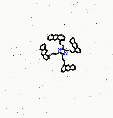 C(=Cc1cccc2cc3ccccc3cc12)c1nc(C=Cc2cccc3cc4ccccc4cc23)c(C=Cc2cccc3cc4ccccc4cc23)nc1C=Cc1cccc2cc3ccccc3cc12